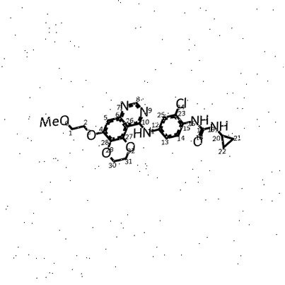 COCCOc1cc2ncnc(Nc3ccc(NC(=O)NC4CC4)c(Cl)c3)c2c2c1OCCO2